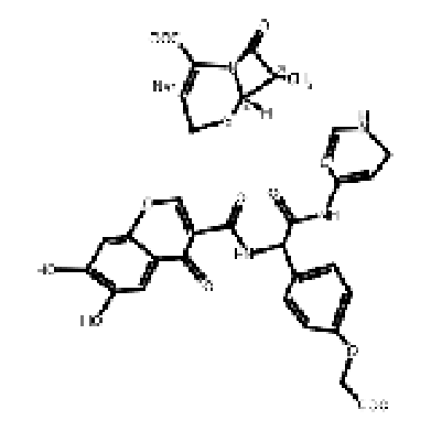 C[C@@H]1C(=O)N2C(C(=O)[O-])=CCS[C@@H]12.O=C([O-])COc1ccc(C(NC(=O)c2coc3cc(O)c(O)cc3c2=O)C(=O)NC2=CCNC=[C+]2)cc1.[Na+]